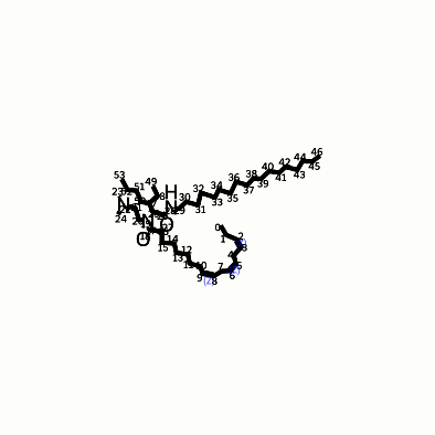 CC/C=C\C/C=C\C/C=C\CCCCCCCC(=O)N(CCN(C)C)C(C(=O)NCCCCCCCCCCCCCCCCCC)C(CC)CCCC